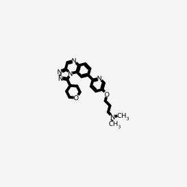 CN(C)CCCOc1ccc(-c2ccc3ncc4nnc(C5CCOCC5)n4c3c2)nc1